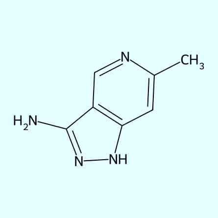 Cc1cc2[nH]nc(N)c2cn1